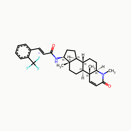 CN1C(=O)C=C[C@]2(C)[C@H]3CC[C@]4(C)[C@@H](NC(=O)/C=C/c5ccccc5C(F)(F)F)CC[C@H]4[C@@H]3CC[C@@H]12